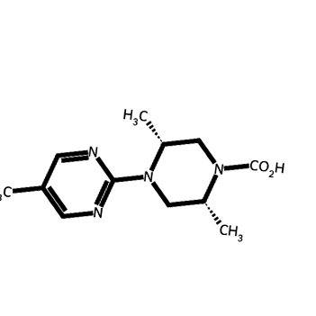 Cc1cnc(N2C[C@@H](C)N(C(=O)O)C[C@H]2C)nc1